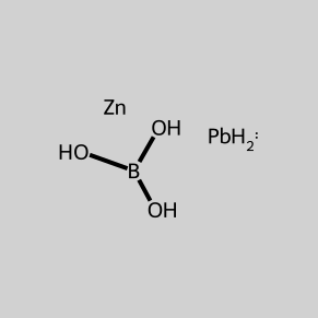 OB(O)O.[PbH2].[Zn]